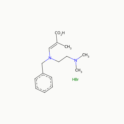 Br.CC(=CN(CCN(C)C)Cc1ccccc1)C(=O)O